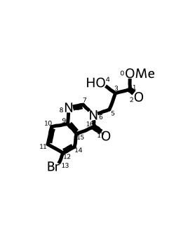 COC(=O)C(O)Cn1cnc2ccc(Br)cc2c1=O